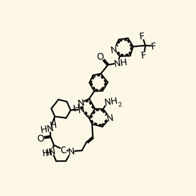 Nc1ncc2c3c1c(-c1ccc(C(=O)Nc4cc(C(F)(F)F)ccn4)cc1)nn3[C@@H]1CCC[C@H](C1)NC(=O)[C@H]1CN(C/C=C/2)CCN1